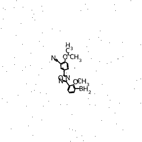 Bc1cccc(-c2noc(-c3ccc(OC(C)C)c(C#N)c3)n2)c1OC